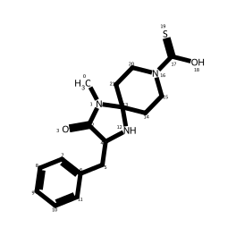 CN1C(=O)C(Cc2ccccc2)NC12CCN(C(O)=S)CC2